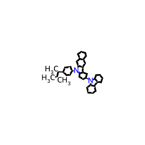 CC(C)=C(C)c1ccc(-n2c3ccc(-n4c5ccccc5c5ccccc54)cc3c3cc4ccccc4cc32)cc1